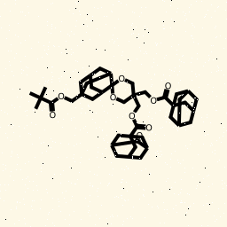 CC(C)(C)C(=O)OCC12CC3CC(C1)C1(OCC(COC(=O)C45CC6CC(CC(C6)C4)C5)(COC(=O)C45CC6CC(C4)C(=O)C(C6)C5)CO1)C(C3)C2